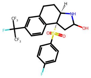 O=S(=O)(c1ccc(F)cc1)[C@@]12CC(O)N[C@@H]1CCc1cc(C(F)(C(F)(F)F)C(F)(F)F)ccc12